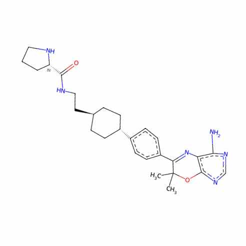 CC1(C)Oc2ncnc(N)c2N=C1c1ccc([C@H]2CC[C@H](CCNC(=O)[C@@H]3CCCN3)CC2)cc1